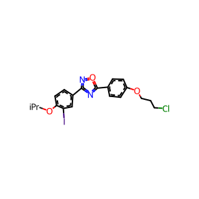 CC(C)Oc1ccc(-c2noc(-c3ccc(OCCCCl)cc3)n2)cc1I